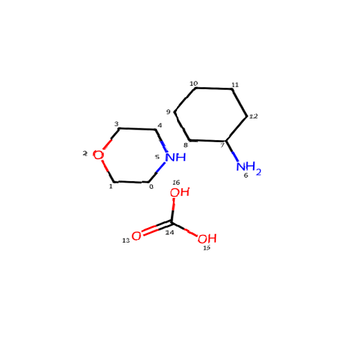 C1COCCN1.NC1CCCCC1.O=C(O)O